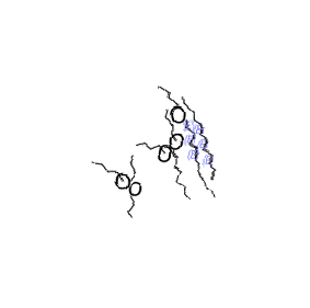 C=C/C=C/C=C/C=C/CCCC.CCCCCC/C=C/C=C/C=C/OCCCC.CCCCCCC=C(OCCCC)OCCCC.CCCCOC(CCC)OCCCC